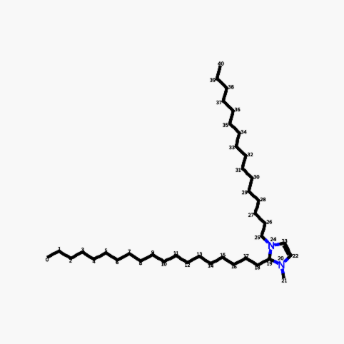 CCCCCCCCCCCCCCCCCCCC1N(C)C=CN1CCCCCCCCCCCCCCCC